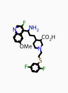 COc1ccc2ncc(F)c(C(N)CCC3CCN(CCSc4cc(F)ccc4F)CC3C(=O)O)c2c1